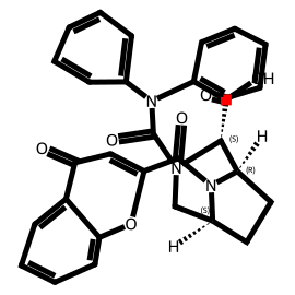 O=C(O)[C@@H]1[C@H]2CC[C@@H](CN1C(=O)N(c1ccccc1)c1ccccc1)N2C(=O)c1cc(=O)c2ccccc2o1